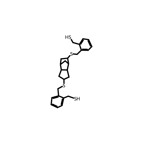 SCc1ccccc1CSC1CC2C3CC(SCc4ccccc4CS)C(C3)C2C1